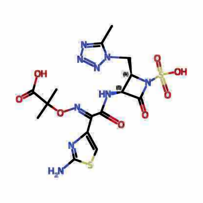 Cc1nnnn1C[C@@H]1[C@H](NC(=O)C(=NOC(C)(C)C(=O)O)c2csc(N)n2)C(=O)N1S(=O)(=O)O